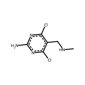 CNCc1c(Cl)nc(N)nc1Cl